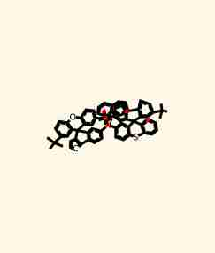 CC(C)(C)c1ccc2c(c1)C1(c3cc(C(C)(C)C)ccc3O2)c2ccccc2-c2ccc(N(c3ccc4c(c3)C3(c5ccccc5S4)c4cc(C(C)(C)C)ccc4-c4ccc(C(C)(C)C)cc43)c3cccc4ccccc34)cc21